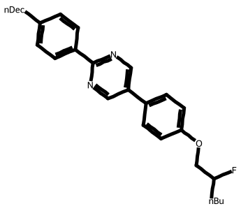 CCCCCCCCCCc1ccc(-c2ncc(-c3ccc(OCC(F)CCCC)cc3)cn2)cc1